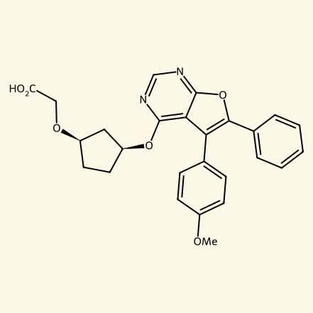 COc1ccc(-c2c(-c3ccccc3)oc3ncnc(O[C@H]4CC[C@@H](OCC(=O)O)C4)c23)cc1